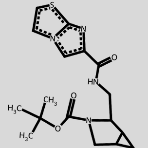 CC(C)(C)OC(=O)N1CC2CC2C1CNC(=O)c1cn2ccsc2n1